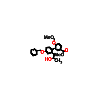 COCOc1ccc(C(=O)OC)cc1-c1ccc(OCc2ccccc2)cc1CC(C)O